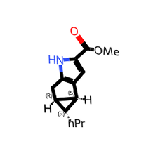 CCC[C@@H]1[C@H]2Cc3[nH]c(C(=O)OC)cc3[C@@H]12